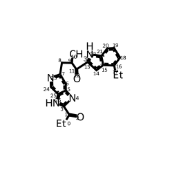 CCC(=O)c1nc2cc(CC(C)C(=O)c3cc4c(CC)cccc4[nH]3)ncc2[nH]1